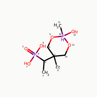 CCC1(C(C)P(=O)(O)O)CO[PH](C)(O)OC1